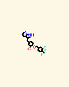 COc1cc(Cc2c[nH]c3ncccc23)ccc1OCc1ccc(C(F)(F)F)c(F)c1